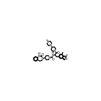 Cc1cc(CC(NC(=O)N2CCC(N3CCc4ccccc4NC3=O)CC2)C(=O)N2CCC(N3CCN(C)CC3)CC2)cc2cnn(C)c12